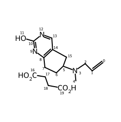 C=CCN(C)C1CCc2nc(O)ncc2C1.O=C(O)CCC(=O)O